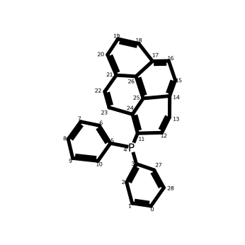 c1ccc(P(c2ccccc2)c2ccc3ccc4cccc5ccc2c3c45)cc1